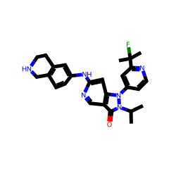 CC(C)n1c(=O)c2cnc(Nc3ccc4c(c3)CCNC4)cc2n1-c1ccnc(C(C)(C)F)c1